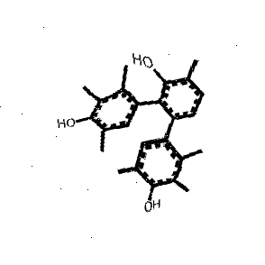 Cc1cc(-c2ccc(C)c(O)c2-c2cc(C)c(O)c(C)c2C)c(C)c(C)c1O